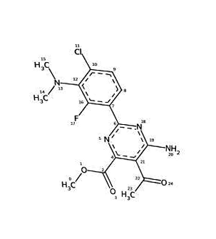 COC(=O)c1nc(-c2ccc(Cl)c(N(C)C)c2F)nc(N)c1C(C)=O